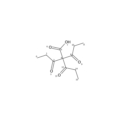 CCC(=O)C(C(=O)O)(C(=O)CC)C(=O)CC